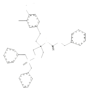 CCCCCCCOc1ccc(CCC(CO)(COP(=O)(Cc2ccccc2)Cc2ccccc2)NC(=O)OCc2ccccc2)cc1C(F)(F)F